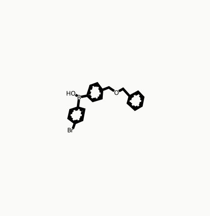 OB(c1ccc(Br)cc1)c1ccc(COCc2ccccc2)cc1